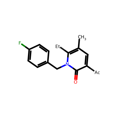 CCc1c(C)cc(C(C)=O)c(=O)n1Cc1ccc(F)cc1